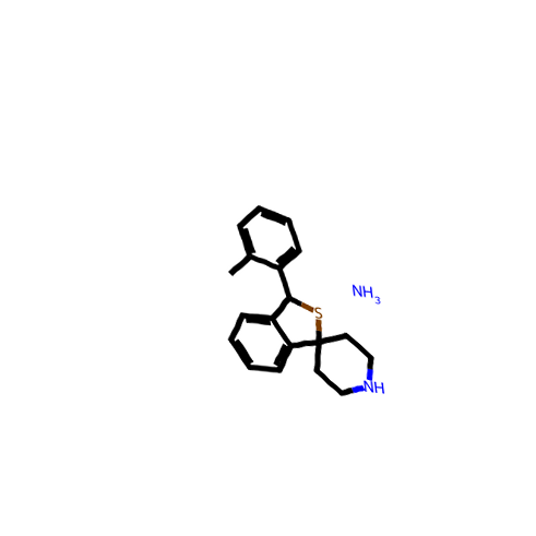 Cc1ccccc1C1SC2(CCNCC2)c2ccccc21.N